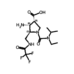 CCN(C(=O)N1C[C@@H](C(=O)O)[C@@H](N)[C@@H]1CNC(=O)C(F)(F)F)C(C)C